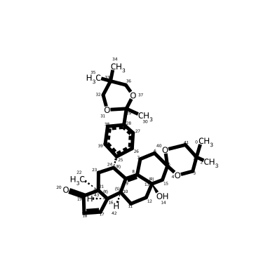 CC1(C)COC2(CCC3=C4[C@@H](CC[C@@]3(O)C2)[C@H]2C=CC(=O)[C@@]2(C)C[C@@H]4c2ccc(C3(C)OCC(C)(C)CO3)cc2)OC1